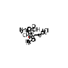 Cc1cc(OCCCc2c3n(c4c(-c5c(C)nn(C)c5C)cccc24)C(C)[C@@H](Cl)N(c2cn(C[C@H]4CCCN4C)c4ccc(C(=O)O)cc24)C3=O)cc(C)c1Cl